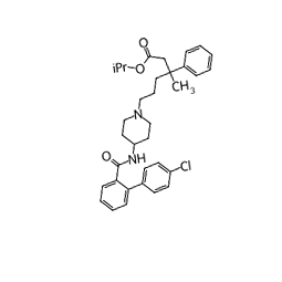 CC(C)OC(=O)CC(C)(CCCN1CCC(NC(=O)c2ccccc2-c2ccc(Cl)cc2)CC1)c1ccccc1